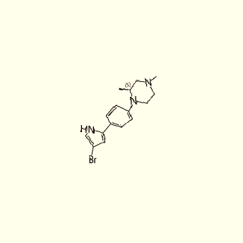 C[C@H]1CN(C)CCN1c1ccc(-c2cc(Br)c[nH]2)cc1